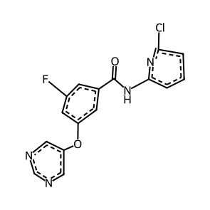 O=C(Nc1cccc(Cl)n1)c1cc(F)cc(Oc2cncnc2)c1